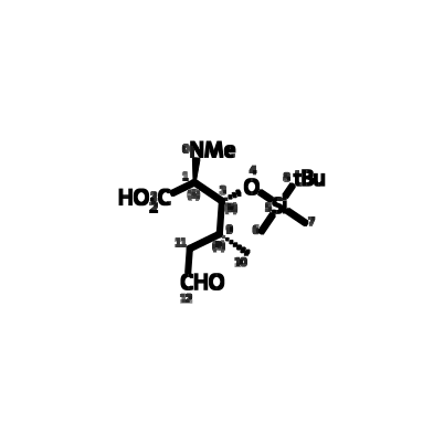 CN[C@H](C(=O)O)[C@H](O[Si](C)(C)C(C)(C)C)[C@H](C)CC=O